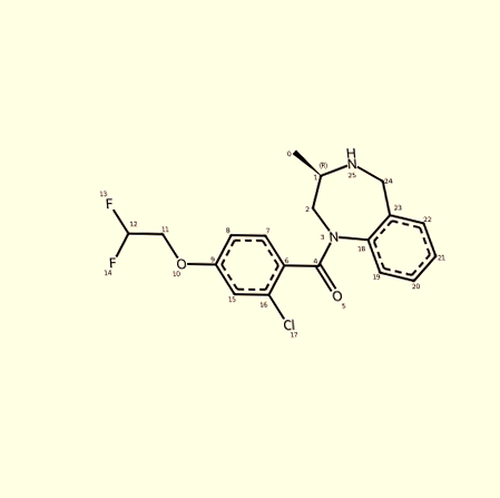 C[C@@H]1CN(C(=O)c2ccc(OCC(F)F)cc2Cl)c2ccccc2CN1